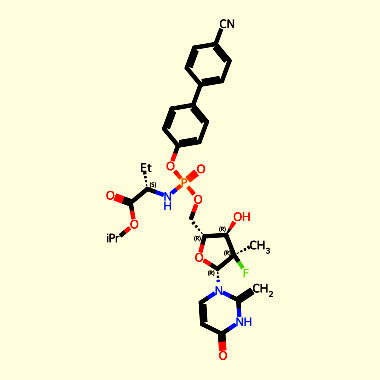 C=C1NC(=O)C=CN1[C@@H]1O[C@H](COP(=O)(N[C@@H](CC)C(=O)OC(C)C)Oc2ccc(-c3ccc(C#N)cc3)cc2)[C@@H](O)[C@@]1(C)F